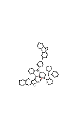 c1ccc(C2(c3ccccc3)c3ccccc3-c3ccc(N(c4ccc(-c5ccc6oc7ccccc7c6c5)cc4)c4ccccc4-c4cccc5oc6cc7ccccc7cc6c45)cc32)cc1